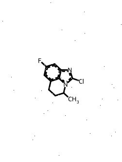 CC1CCc2cc(F)cc3nc(Cl)n1c23